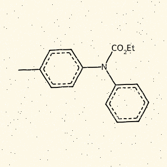 CCOC(=O)N(c1ccccc1)c1ccc(C)cc1